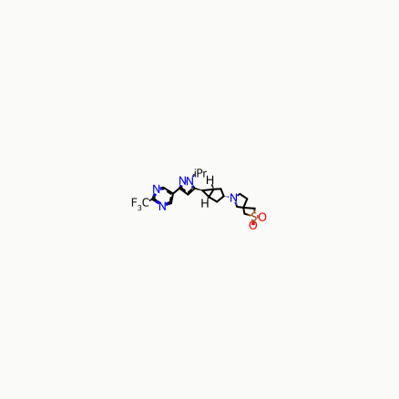 CC(C)n1nc(-c2cnc(C(F)(F)F)nc2)cc1[C@H]1[C@@H]2C[C@H](N3CCC4(C3)CS(=O)(=O)C4)C[C@@H]21